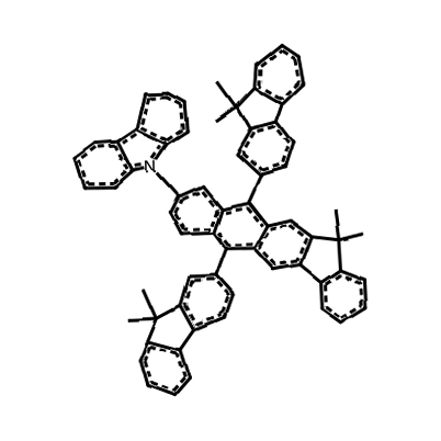 CC1(C)c2ccccc2-c2ccc(-c3c4ccc(-n5c6ccccc6c6ccccc65)cc4c(-c4ccc5c(c4)C(C)(C)c4ccccc4-5)c4cc5c(cc34)-c3ccccc3C5(C)C)cc21